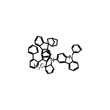 CC1(c2ccccc2-c2ccccc2-c2ccccc2)C=CC=CC1N(c1ccc2c(c1)C1(CC3CCC1C3)c1ccccc1-2)c1ccc2c(c1)c1ccccc1n2-c1ccccc1